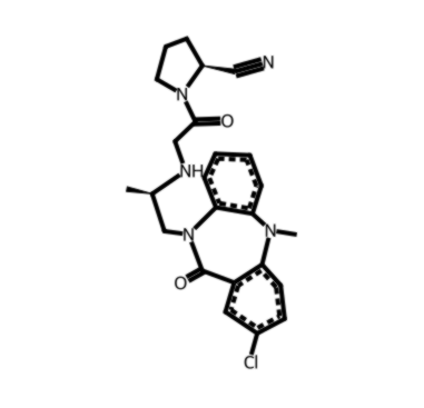 C[C@H](CN1C(=O)c2cc(Cl)ccc2N(C)c2ccccc21)NCC(=O)N1CCC[C@H]1C#N